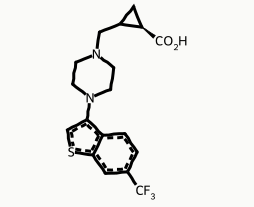 O=C(O)[C@@H]1CC1CN1CCN(c2csc3cc(C(F)(F)F)ccc23)CC1